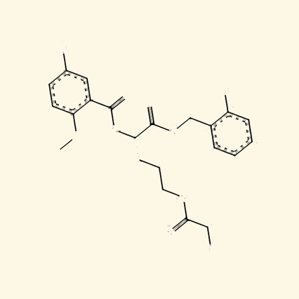 COc1ccc(Cl)cc1C(=O)N[C@@H](CCCNC(=N)CF)C(=O)NCc1ccccc1Cl